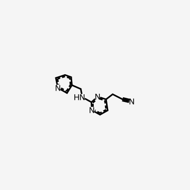 N#CCc1ccnc(NCc2cccnc2)n1